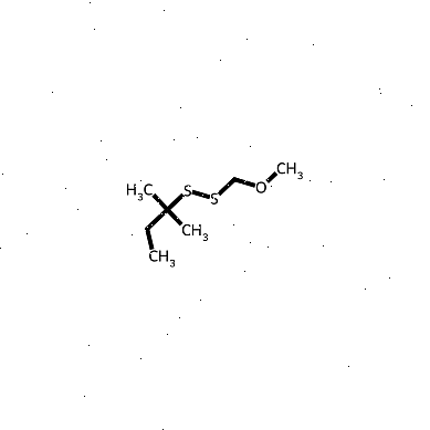 CCC(C)(C)SSCOC